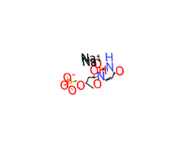 O=c1ccn(C2(O)C[C@@H](OCP(=O)([O-])[O-])CO2)c(=O)[nH]1.[Na+].[Na+]